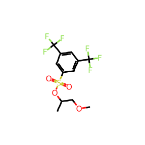 COCC(C)OS(=O)(=O)c1cc(C(F)(F)F)cc(C(F)(F)F)c1